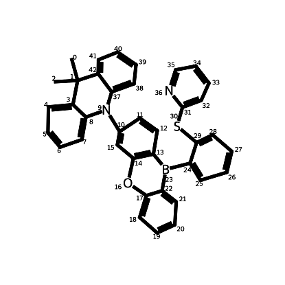 CC1(C)c2ccccc2N(c2ccc3c(c2)Oc2ccccc2B3c2ccccc2Sc2ccccn2)c2ccccc21